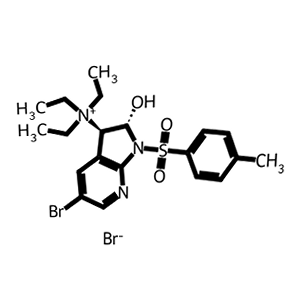 CC[N+](CC)(CC)[C@@H]1c2cc(Br)cnc2N(S(=O)(=O)c2ccc(C)cc2)[C@H]1O.[Br-]